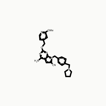 COc1cc(COc2nc(N)c3cc(C#N)n(Cc4ccc(CN5CCCC5)cc4)c3n2)ccn1